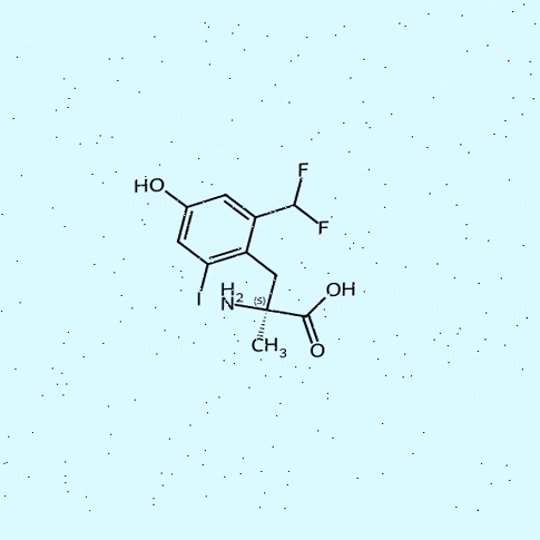 C[C@](N)(Cc1c(I)cc(O)cc1C(F)F)C(=O)O